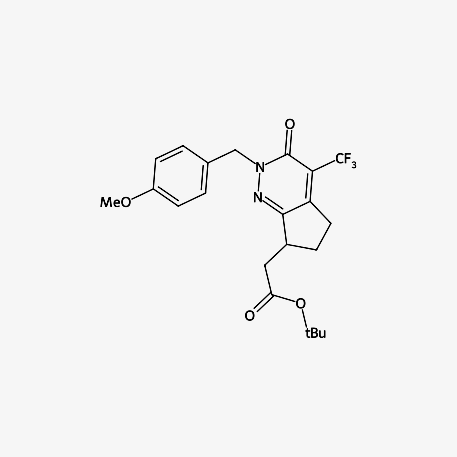 COc1ccc(Cn2nc3c(c(C(F)(F)F)c2=O)CCC3CC(=O)OC(C)(C)C)cc1